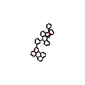 CC1(C)c2ccccc2-c2cccc(N(c3cccc(-c4cccc(-c5cccc6cccc(-c7ccccn7)c56)c4)c3)c3ccccc3-c3ccc(-c4ccccc4)cc3)c21